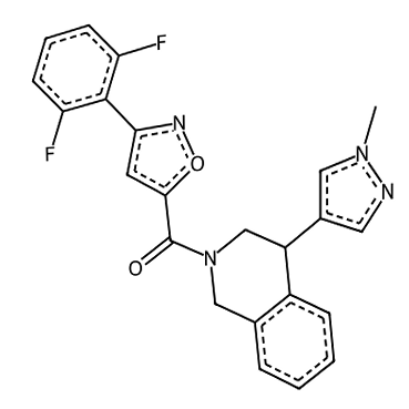 Cn1cc(C2CN(C(=O)c3cc(-c4c(F)cccc4F)no3)Cc3ccccc32)cn1